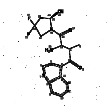 CC(C(=O)c1ccnc2ccccc12)C(N)C(=O)N1CC(F)(F)C[C@H]1C#N